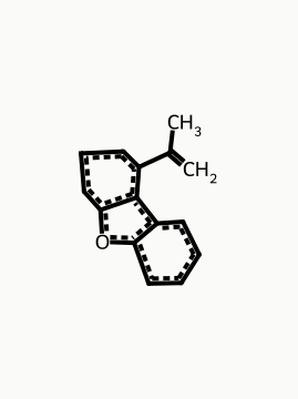 C=C(C)c1cccc2oc3ccccc3c12